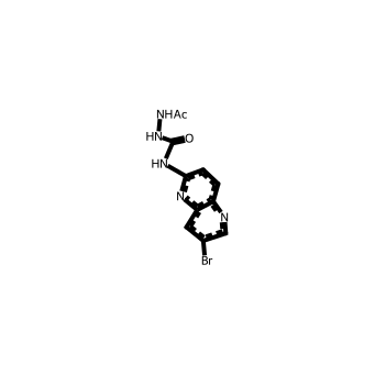 CC(=O)NNC(=O)Nc1ccc2ncc(Br)cc2n1